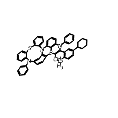 CC1=C(c2cc(C3CCCCC3)ccc2C)N(c2ccccc2)c2cccc3c2B1c1ccc2cc1N3c1ccccc1Sc1ccccc1N2c1ccccc1